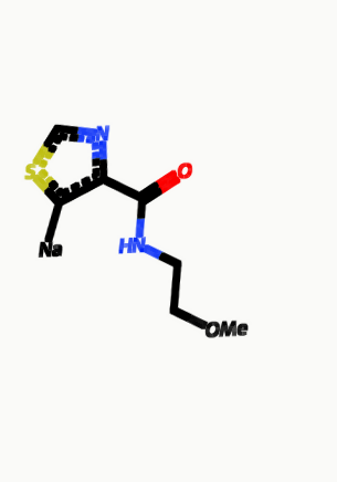 COCCNC(=O)c1ncs[c]1[Na]